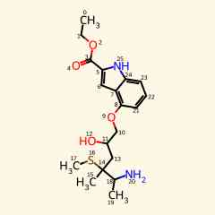 CCOC(=O)c1cc2c(OCC(O)CC(C)(SC)C(C)N)cccc2[nH]1